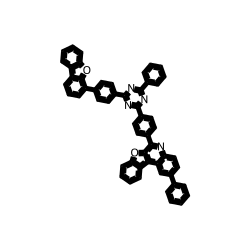 c1ccc(-c2ccc3nc(-c4ccc(-c5nc(-c6ccccc6)nc(-c6ccc(-c7cccc8c7oc7ccccc78)cc6)n5)cc4)c4oc5ccccc5c4c3c2)cc1